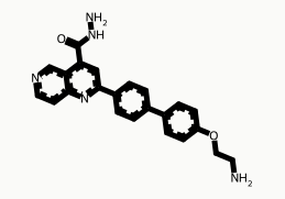 NCCOc1ccc(-c2ccc(-c3cc(C(=O)NN)c4cnccc4n3)cc2)cc1